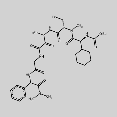 CCCC(NC(=O)[C@H](CC(C)C)N(C)C(=O)[C@@H](NC(=O)OCC(C)C)C1CCCCC1)C(=O)C(=O)NCC(=O)NC(C(=O)N(C)C)c1ccccc1